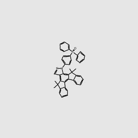 CC1(C)c2ccccc2-c2c3c(c4c(cnn4-c4ccc(P(=O)(c5ccccc5)c5ccccc5)cc4)c21)C(C)(C)c1ccccc1-3